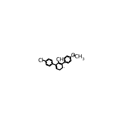 COc1ccc(C2=C(C)C(c3ccc(Cl)cc3)=CC[CH]2)cc1